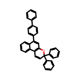 C1=CC(c2ccccc2)(c2ccccc2)Oc2cc(-c3ccc(-c4ccccc4)cc3)c3ccccc3c21